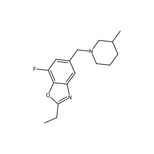 CCc1nc2cc(CN3CCCC(C)C3)cc(F)c2o1